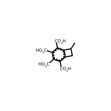 CC1Cc2c(C(=O)O)c(C(=O)O)c(C(=O)O)c(C(=O)O)c21